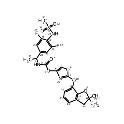 CC(NC(=O)Oc1coc(Oc2cccc3c2OC(C)(C)C3)n1)c1cc(F)c(NS(C)(=O)=O)c(F)c1